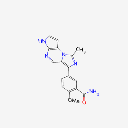 COc1ccc(-c2nc(C)n3c2cnc2[nH]ccc23)cc1C(N)=O